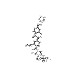 COc1cc(N2CCc3cc(OC[C@@H]4CCCO4)ccc3C2=O)ccc1N1CCC2CN(CC(C)(C)O)CC21